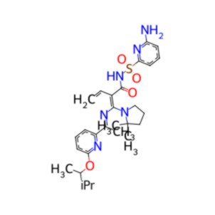 C=C/C(C(=O)NS(=O)(=O)c1cccc(N)n1)=C(\N=C(/C)c1cccc(OC(C)C(C)C)n1)N1CCCC1(C)C